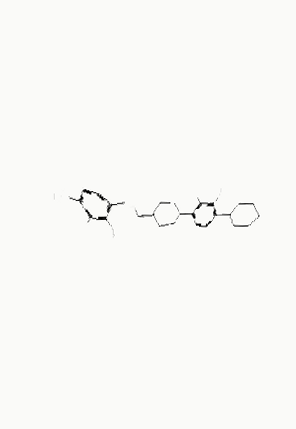 Cc1ccc(OCC2CCC(c3ccc(C4CCCCC4)c(F)c3F)CC2)c(F)c1F